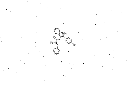 CC(C)N(Cc1ccncc1)C(=O)Cc1c(-c2ccc(Br)cc2)[nH]c2ccccc12